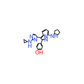 Oc1ccc(-c2nn3c(NC4CCCC4)cccc3c2-c2ccnc(NC3CC3)n2)cc1